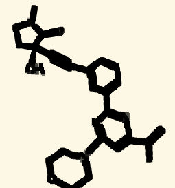 C=C(C)c1cc(N2CCOCC2)nc(-c2cccc(C#C[C@]3(O)CCN(C)C3=O)c2)n1